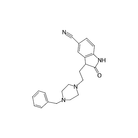 N#Cc1ccc2c(c1)C(CCN1CCN(Cc3ccccc3)CC1)C(=O)N2